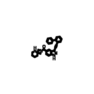 O=C(c1ccc2[nH]nc(C#Cc3ccccc3-c3ccccc3)c2c1)N1CC2(CCCCN2)C1